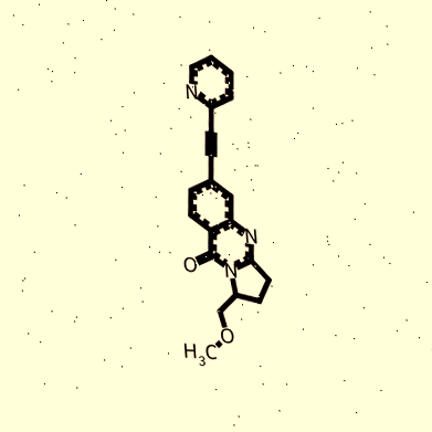 COCC1CCc2nc3cc(C#Cc4ccccn4)ccc3c(=O)n21